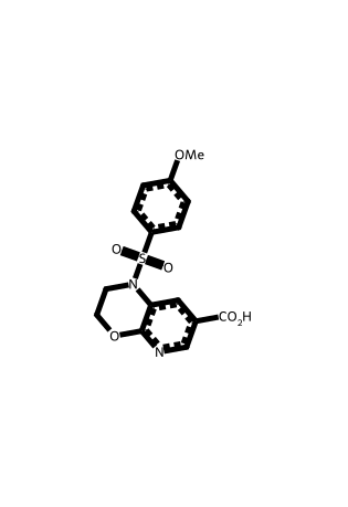 COc1ccc(S(=O)(=O)N2CCOc3ncc(C(=O)O)cc32)cc1